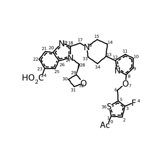 CC(=O)c1cc(F)c(COc2cccc(C3CCN(Cc4nc5ccc(C(=O)O)cc5n4C[C@@H]4CCO4)CC3)n2)s1